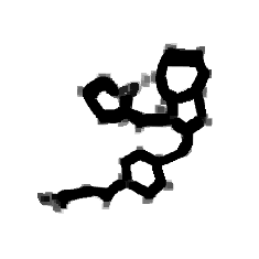 NCCN1CCC(Cc2nc3ccccc3n2Cc2ccco2)CC1